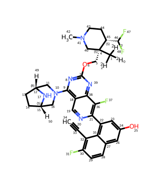 [2H]C([2H])([2H])[C@@]1(COc2nc(N3C[C@H]4CC[C@@H](C3)N4)c3cnc(-c4cc(O)cc5ccc(F)c(C#C)c45)c(F)c3n2)CN(C)CC[C@@H]1C(F)F